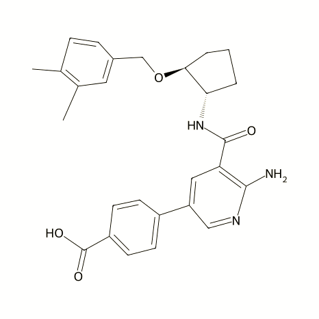 Cc1ccc(CO[C@H]2CCC[C@@H]2NC(=O)c2cc(-c3ccc(C(=O)O)cc3)cnc2N)cc1C